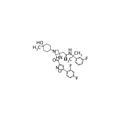 CC1(O)CCC(N2CC(CC(=O)NC(C)(C)c3cccc(F)c3)(NC(=O)c3cc(-c4ccc(F)cc4F)on3)C2)CC1